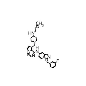 COCCNC1CCN(Cc2ccn3ncnc(Nc4ccc5c(cnn5Cc5cccc(F)c5)c4)c23)CC1